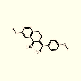 COc1ccc(/C(N)=C2\CCc3ccc(OC)cc3C2=N)cc1